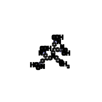 COc1ccc2cc(N(c3ccc(C=C(c4ccc(/C=C(\C#N)C(=O)O)cc4)c4ccc(/C=C(\C#N)C(=O)O)cc4)cc3)c3ccc(C=C(c4ccc(/C=C(\C#N)C(=O)O)cc4)c4ccc(/C=C(\C#N)C(=O)O)cc4)cc3)ccc2c1